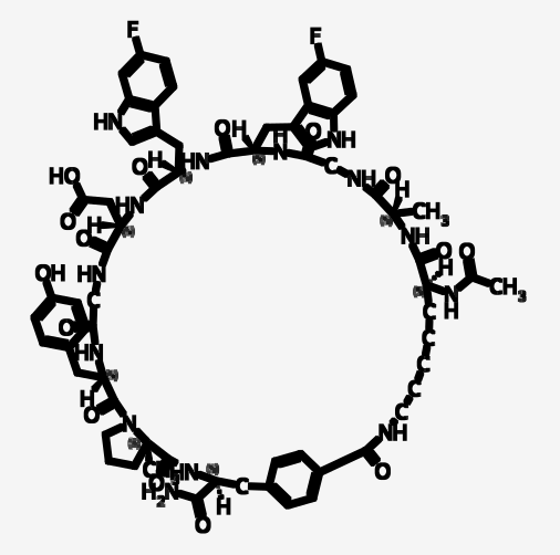 CC(=O)N[C@H]1CCCCCNC(=O)c2ccc(cc2)C[C@@H](C(N)=O)NC(=O)[C@]2(C)CCCN2C(=O)[C@H](Cc2ccc(O)cc2)NC(=O)CNC(=O)[C@H](CC(=O)O)NC(=O)[C@H](Cc2c[nH]c3cc(F)ccc23)NC(=O)[C@H](Cc2c[nH]c3ccc(F)cc23)NC(=O)CNC(=O)[C@H](C)NC1=O